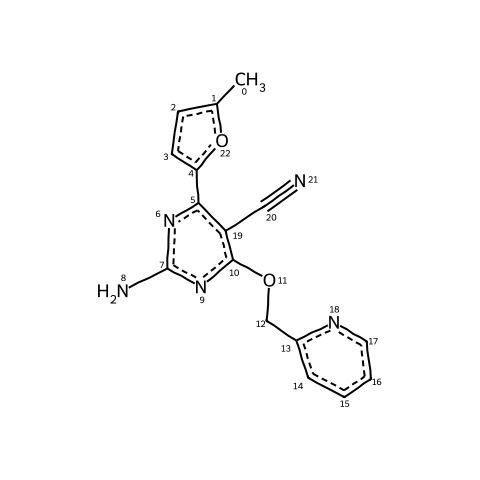 Cc1ccc(-c2nc(N)nc(OCc3ccccn3)c2C#N)o1